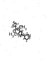 Cc1nn(-c2cccnc2)cc1N(C)C(=O)C1CSC1